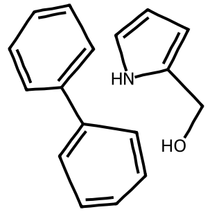 OCc1ccc[nH]1.c1ccc(-c2ccccc2)cc1